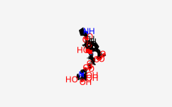 CO[C@H]1CC2C=C[C@H]3[C@H]4O[C@]2(/C(C)=C/[C@@H](C)[C@@H]([C@@H](C)OC(=O)OCCN(CCO)C(CO)(CO)CO)OC1=O)[C@@H]3[C@H](O)[C@@H](C)[C@H]4OC(=O)c1ccc[nH]1